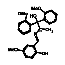 COc1ccc(O)c(C=N[C@H](C)C(O)(c2ccccc2OC)c2ccccc2OC)c1